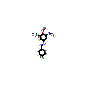 CCOc1c(N=C=O)cc(N=Cc2ccc(F)cc2)cc1[N+](=O)[O-]